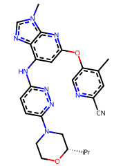 Cc1cc(C#N)ncc1Oc1cc(Nc2ccc(N3CCO[C@@H](C(C)C)C3)nn2)c2ncn(C)c2n1